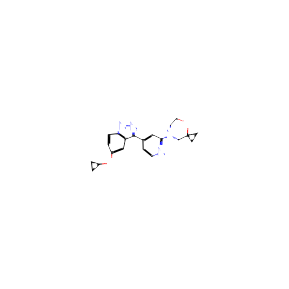 c1cc(-c2n[nH]c3ccc(OC4CC4)cc23)cc(N2CCOC3(CC3)C2)n1